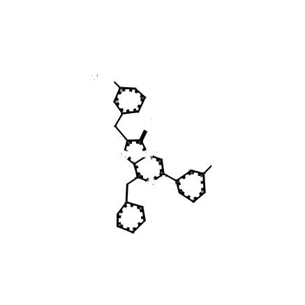 COc1cccc(Cc2nc3c(Cc4ccccc4)[nH]c(-c4cccc(C)c4)cn-3c2=O)c1